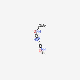 CCC(=O)Nc1ccc(CCc2nc3cc(C(=O)NCCCOC)ccc3[nH]2)cc1